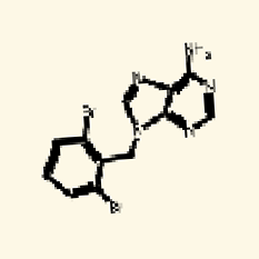 Nc1ncnc2c1ncn2Cc1c(Br)cccc1Br